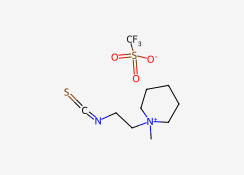 C[N+]1(CCN=C=S)CCCCC1.O=S(=O)([O-])C(F)(F)F